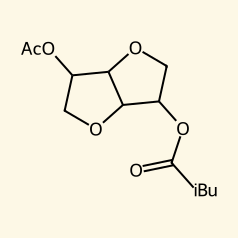 CCC(C)C(=O)OC1COC2C(OC(C)=O)COC12